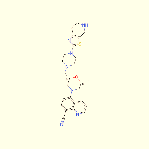 C[C@@H]1CN(c2ccc(C#N)c3ncccc23)C[C@H](CN2CCN(c3nc4c(s3)CNCC4)CC2)O1